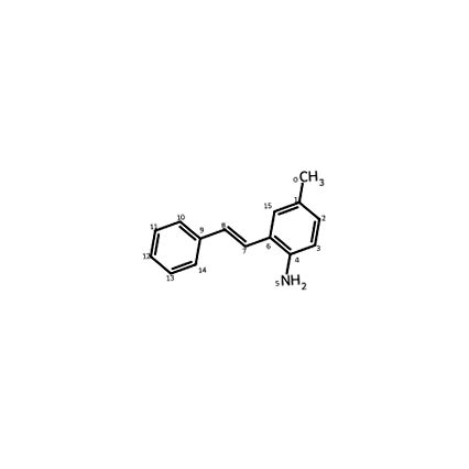 Cc1ccc(N)c(C=Cc2ccccc2)c1